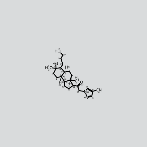 CCC1(C)CC[C@@H]2[C@H](CCC3(C)C(C(=O)Cn4cc(C#N)cn4)CC[C@@H]23)C1CCCO